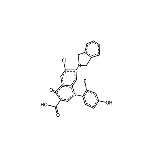 O=C(O)c1cn(-c2ccc(O)cc2F)c2cc(N3Cc4ccccc4C3)c(Cl)cc2c1=O